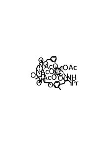 CC(=O)OC[C@H]1O[C@@H](Oc2n[nH]c(C(C)C)c2Cc2ccc(OCCNC(=O)C(C)(C)C(=O)N3CCN(C(=O)OCc4ccccc4)CC3)cc2C)[C@H](OC(C)=O)[C@@H](OC(C)=O)[C@@H]1OC(C)=O